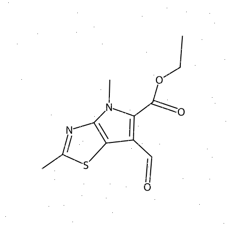 CCOC(=O)c1c(C=O)c2sc(C)nc2n1C